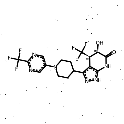 O=C1Nc2[nH]nc(C3CCN(c4cnc(C(F)(F)F)nc4)CC3)c2[C@@H](C(F)(F)F)[C@H]1O